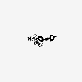 Cc1ccc(C#Cc2ccc(NC(=O)OC(C)(C)C)c([N+](=O)[O-])c2)cc1